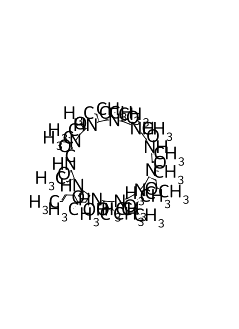 C/C=C/C[C@@H](C)[C@@H](O)[C@@H]1NC(=O)[C@H](C(C)C)N(C)C(=O)[C@@H](CC(C)C)N(C)C(=O)[C@H](CC(C)C)N(C)C(=O)[C@@H](C)NC(=O)[C@H](C)NC(=O)[C@H](C)N(C)C(=O)[C@H](C(C)C)NC(=O)[C@H](C)N(C)C(=O)CNC(=O)[C@H](CC)NC1=O